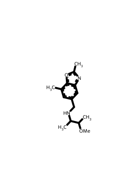 COC(C)C(C)NCc1cc(C)c2oc(C)nc2c1